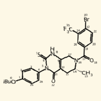 CC(C)COc1ccc(-n2c(=S)[nH]c3c(c2=O)C[C@@H](C)N(C(=O)c2ccc(Br)c(C(F)(F)F)c2)C3)cc1